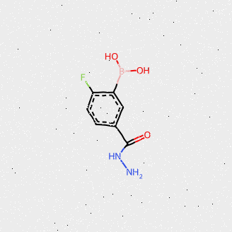 NNC(=O)c1ccc(F)c(B(O)O)c1